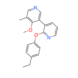 CCc1ccc(Oc2ncccc2-c2cncc(C)c2OC)cc1